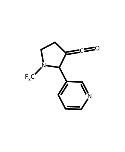 O=C=C1CCN(C(F)(F)F)C1c1cccnc1